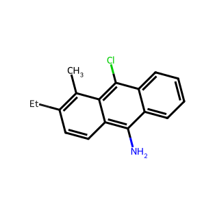 CCc1ccc2c(N)c3ccccc3c(Cl)c2c1C